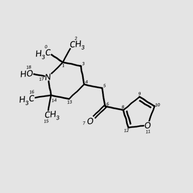 CC1(C)CC(CC(=O)c2ccoc2)CC(C)(C)N1O